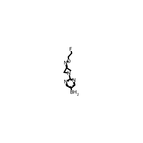 Bc1cnc(N2CC(=NOCCF)C2)nc1